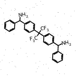 NC(c1ccccc1)c1ccc(C(c2ccc(C(N)c3ccccc3)cc2)(C(F)(F)F)C(F)(F)F)cc1